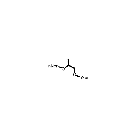 CCCCCCCCCOCC(C)OCCCCCCCCC